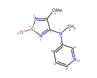 COc1n[s+]([O-])nc1N(C)c1cccnc1